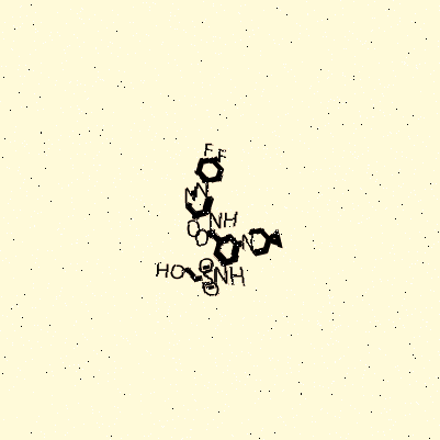 O=C(Nc1cn(C2CCC(F)(F)CC2)ncc1=O)c1cc(NS(=O)(=O)CCO)cc(N2CCC3(CC2)CC3)c1